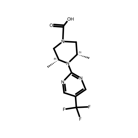 C[C@@H]1CN(C(=O)O)C[C@H](C)N1c1ncc(C(F)(F)F)cn1